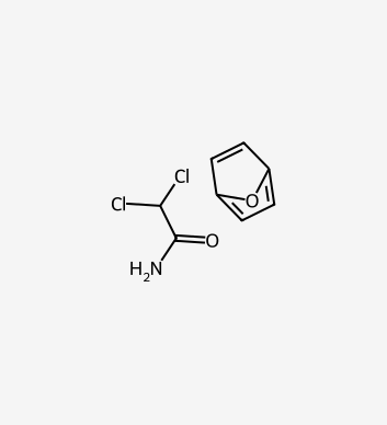 NC(=O)C(Cl)Cl.c1cc2ccc1o2